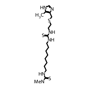 CNC(=S)NCCCCCCCCNC(=S)NCCSCc1nc[nH]c1C